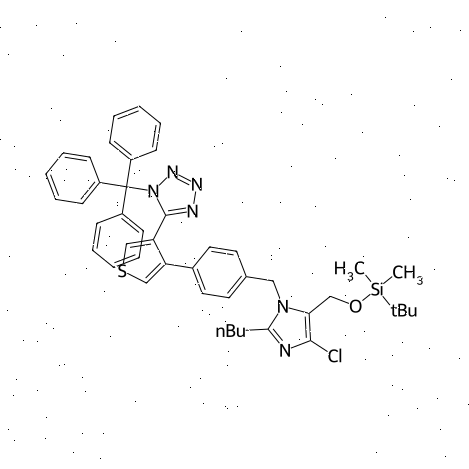 CCCCc1nc(Cl)c(CO[Si](C)(C)C(C)(C)C)n1Cc1ccc(-c2cscc2-c2nnnn2C(c2ccccc2)(c2ccccc2)c2ccccc2)cc1